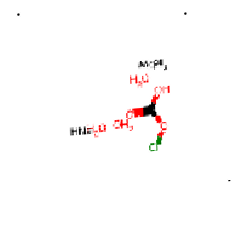 O.O.O.O=C(O)OCl.[MgH2].[NaH]